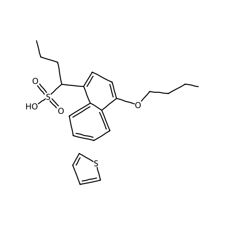 CCCCOc1ccc(C(CCC)S(=O)(=O)O)c2ccccc12.c1ccsc1